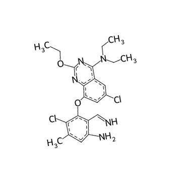 CCOc1nc(N(CC)CC)c2cc(Cl)cc(Oc3c(Cl)c(C)cc(N)c3C=N)c2n1